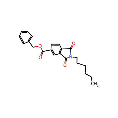 CCCCCCN1C(=O)c2ccc(C(=O)OCc3ccccc3)cc2C1=O